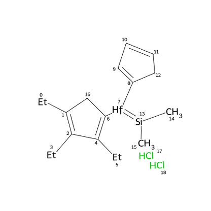 CCC1=C(CC)C(CC)=[C]([Hf]([C]2=CC=CC2)=[Si](C)C)C1.Cl.Cl